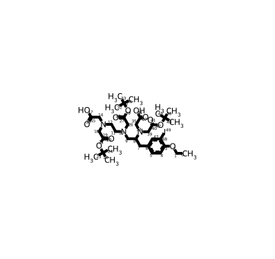 CCOc1ccc(CC(CN(CCN(CC(=O)O)CC(=O)OC(C)(C)C)CC(=O)OC(C)(C)C)N(CC(=O)O)CC(=O)OC(C)(C)C)cc1I